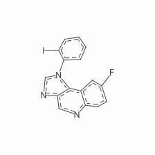 Fc1ccc2ncc3ncn(-c4ccccc4I)c3c2c1